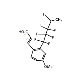 COc1ccc(/C=C/C(=O)O)c(C(F)(F)C(F)(F)C(F)(F)C(C)F)c1